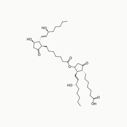 CCCCC[C@H](O)/C=C/[C@H]1[C@H](O)CC(=O)[C@@H]1CCCCCCC(=O)OC1CC(=O)[C@H](CCCCCCC(=O)O)[C@H]1/C=C/[C@@H](O)CCCCC